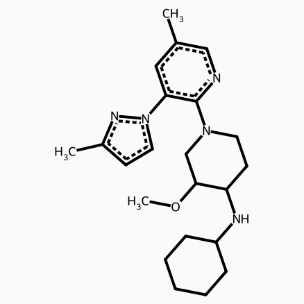 COC1CN(c2ncc(C)cc2-n2ccc(C)n2)CCC1NC1CCCCC1